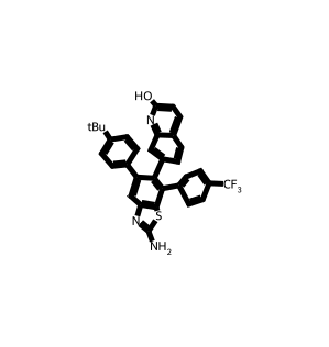 CC(C)(C)c1ccc(-c2[c]c3nc(N)sc3c(-c3ccc(C(F)(F)F)cc3)c2-c2ccc3ccc(O)nc3c2)cc1